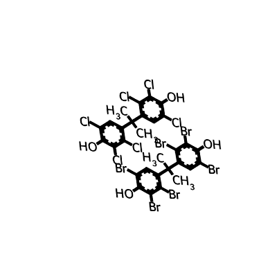 CC(C)(c1cc(Br)c(O)c(Br)c1Br)c1cc(Br)c(O)c(Br)c1Br.CC(C)(c1cc(Cl)c(O)c(Cl)c1Cl)c1cc(Cl)c(O)c(Cl)c1Cl